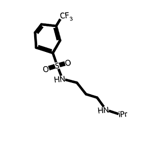 CC(C)NCCCNS(=O)(=O)c1cccc(C(F)(F)F)c1